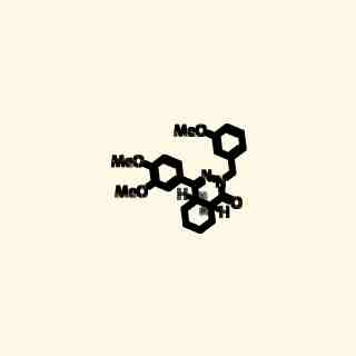 COc1cccc(CN2N=C(c3ccc(OC)c(OC)c3)[C@H]3CCCC[C@H]3C2=O)c1